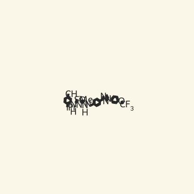 CS/C(=N\C(=O)N/N=C/c1ccc(-c2ncn(-c3ccc(OC(F)(F)F)cc3)n2)cc1)Nc1cc(C)ccc1C(C)C